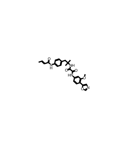 CC=CC(=O)Nc1ccc(CC(C)(C)NC(=O)C(=O)Nc2ccc(-c3cnco3)c(OC)c2)cc1